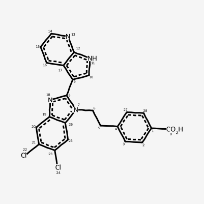 O=C(O)c1ccc(CCn2c(-c3c[nH]c4ncccc34)nc3cc(Cl)c(Cl)cc32)cc1